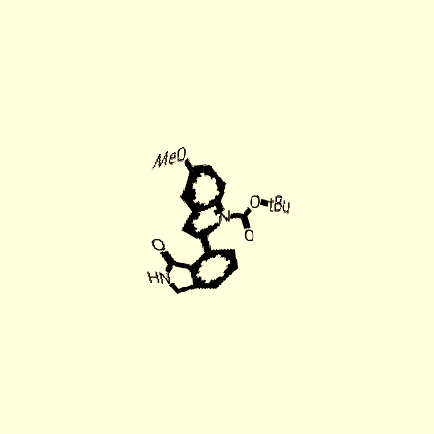 COc1ccc2c(c1)cc(-c1cccc3c1C(=O)NC3)n2C(=O)OC(C)(C)C